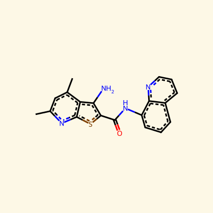 Cc1cc(C)c2c(N)c(C(=O)Nc3cccc4cccnc34)sc2n1